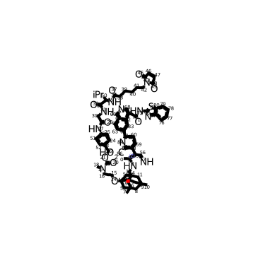 C/C(NCC12CC3(C)CC(C)(C1)CC(OCCN(C)C(=O)OCc1ccc(NC(=O)CNC(=O)C(NC(=O)CCCCCN4C(=O)C=CC4=O)C(C)C)cc1)(C3)C2)=C(/C=N)c1ccc(-c2ccc3cncc(C(=O)Nc4nc5ccccc5s4)c3c2)nc1C(=O)O